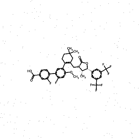 COc1cc(F)c(-c2ccc(C(=O)O)cc2F)cc1C1=C(CN2C(=O)O[C@H](c3cc(C(F)(F)F)cc(C(F)(F)F)c3)[C@@H]2C)CC(C)(C)CC1